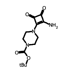 CC(C)(C)OC(=O)N1CCN(c2c(N)c(=O)c2=O)CC1